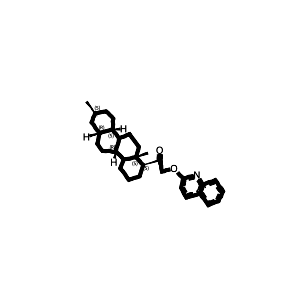 C[C@H]1CC[C@@H]2C3CC[C@@]4(C)C(CCC[C@@H]4C(=O)COc4ccc5ccccc5n4)[C@@H]3CC[C@@H]2C1